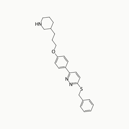 c1ccc(CSc2ccc(-c3ccc(OCCCC4CCCNC4)cc3)nn2)cc1